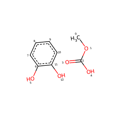 COC(=O)O.Oc1ccccc1O